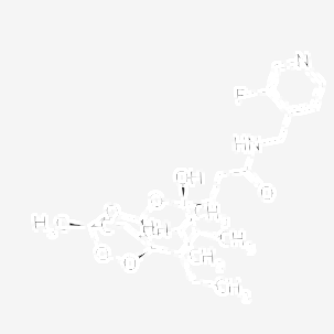 CC[C@H]1[C@@H](C)[C@@](O)(CCC(=O)NCc2ccncc2F)O[C@@H]2O[C@]3(C)CC[C@@H](C(C)C)[C@]21OO3